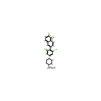 CCCCC[C@H]1CC[C@H](c2cc(F)c(-c3ccc4c(F)c(F)ccc4c3)c(F)c2)CC1